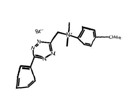 COc1ccc([N+](C)(C)Cc2nnc(-c3ccccc3)nn2)cc1.[Br-]